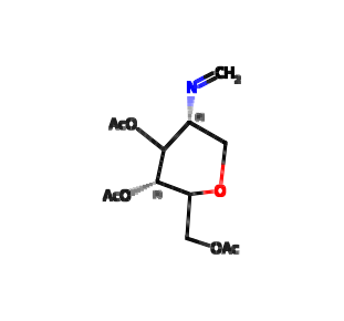 C=N[C@@H]1COC(COC(C)=O)[C@H](OC(C)=O)C1OC(C)=O